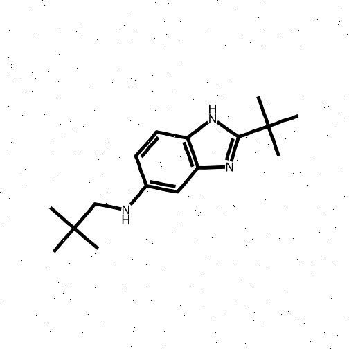 CC(C)(C)CNc1ccc2[nH]c(C(C)(C)C)nc2c1